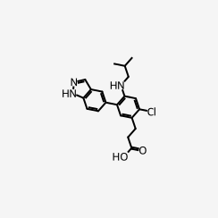 CC(C)CNc1cc(Cl)c(CCC(=O)O)cc1-c1ccc2[nH]ncc2c1